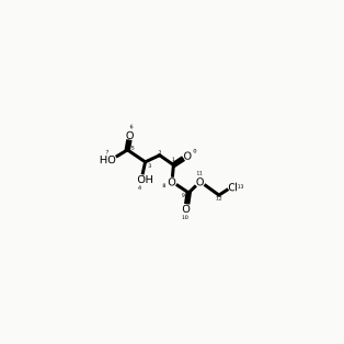 O=C(CC(O)C(=O)O)OC(=O)OCCl